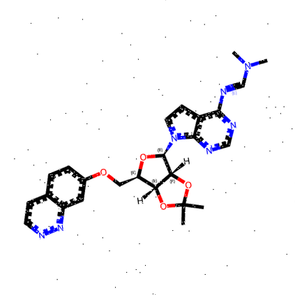 CN(C)/C=N/c1ncnc2c1ccn2[C@@H]1O[C@H](COc2ccc3ccnnc3c2)[C@H]2OC(C)(C)O[C@H]21